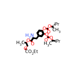 CCOC(=O)OCC(C)OC(=O)[C@@H](N)Cc1ccc(OC(=O)O[C@@H](C)C(C)C)c(OC(=O)OC(C)C(C)C)c1